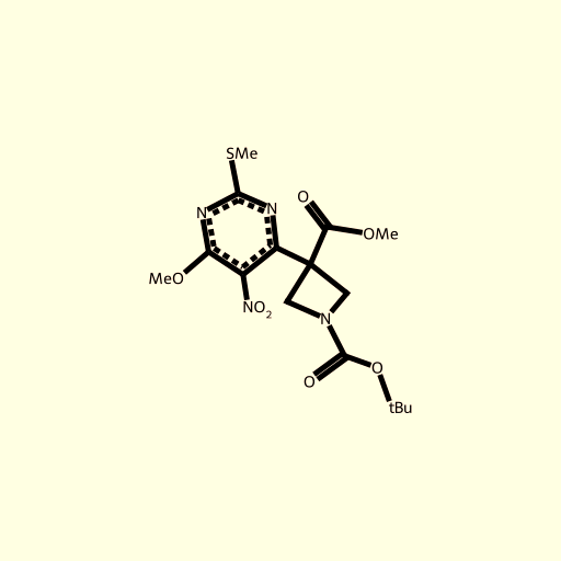 COC(=O)C1(c2nc(SC)nc(OC)c2[N+](=O)[O-])CN(C(=O)OC(C)(C)C)C1